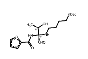 CCCCCCCCCCCCCCN[C@](C=O)(NC(=O)c1ccco1)[C@@H](C)O